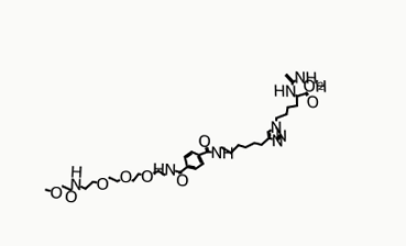 C=C(N)NC(CCCCn1cc(CCCCCCNC(=O)c2ccc(C(=O)NCCOCCOCCOCCNC(=O)COC)cc2)nn1)C(=O)O